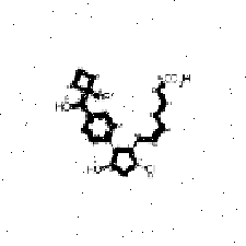 CCCC1(C(O)c2ccc([C@@H]3[C@@H](C/C=C\CCCC(=O)O)[C@H](Cl)C[C@H]3O)cc2)CCC1